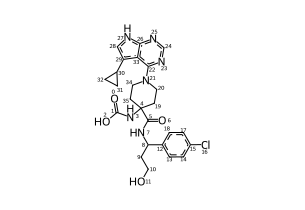 O=C(O)NC1(C(=O)NC(CCO)c2ccc(Cl)cc2)CCN(c2ncnc3[nH]cc(C4CC4)c23)CC1